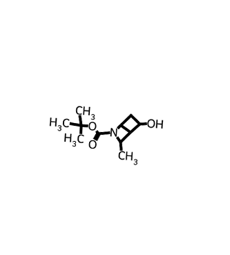 CC1C2C(O)CC2N1C(=O)OC(C)(C)C